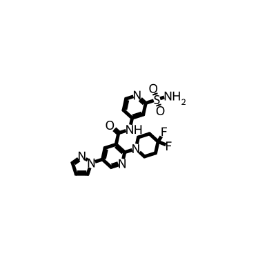 NS(=O)(=O)c1cc(NC(=O)c2cc(-n3cccn3)cnc2N2CCC(F)(F)CC2)ccn1